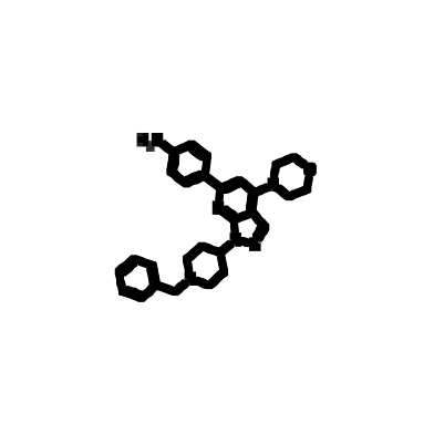 Nc1ccc(-c2cc(N3CCOCC3)c3cnn(C4CCN(Cc5ccccc5)CC4)c3n2)cc1